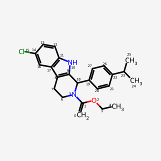 C=C(OCC)N1CCc2c([nH]c3ccc(Cl)cc23)C1c1ccc(C(C)C)cc1